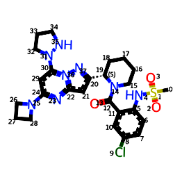 CS(=O)(=O)Nc1ccc(Cl)cc1C(=O)N1CCCC[C@H]1c1cc2nc(N3CCC3)cc(N3CCCN3)n2n1